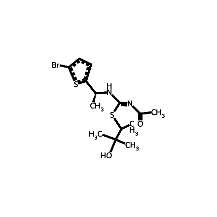 CC(=O)/N=C(/N[C@@H](C)c1ccc(Br)s1)SC(C)C(C)(C)O